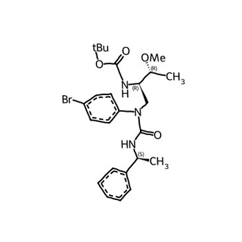 CO[C@H](C)[C@@H](CN(C(=O)N[C@@H](C)c1ccccc1)c1ccc(Br)cc1)NC(=O)OC(C)(C)C